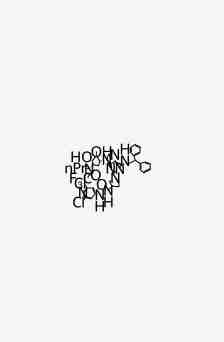 CCCN(C(=O)C(F)(F)F)[C@H]1C[C@@H](n2cnc3c(NCC(c4ccccc4)c4ccccc4)nc(N4CC[C@@H](NC(=O)Nc5cc(Cl)nc(Cl)c5)C4)nc32)[C@H](O)[C@@H]1O